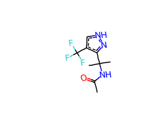 CC(=O)NC(C)(C)c1n[nH]cc1C(F)(F)F